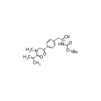 C=C(C)C(=O)N(C)CC(=O)c1ccc(C[C@@H](C#N)NC(=O)OC(C)(C)C)cc1